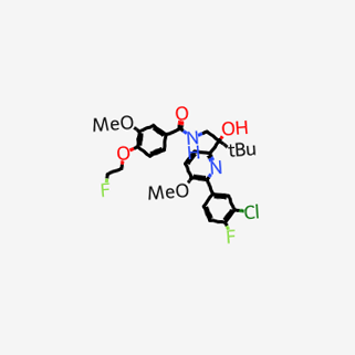 COc1cc(C(=O)NCC(O)(c2ccc(OC)c(-c3ccc(F)c(Cl)c3)n2)C(C)(C)C)ccc1OCCF